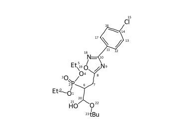 CCOP(=O)(OCC)C(Cc1nc(-c2ccc(Cl)cc2)no1)C(O)OC(C)(C)C